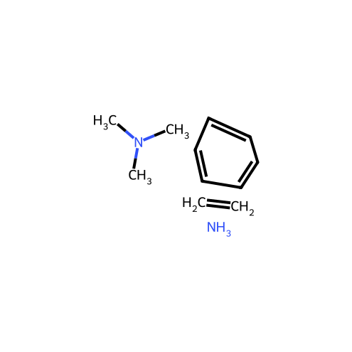 C=C.CN(C)C.N.c1ccccc1